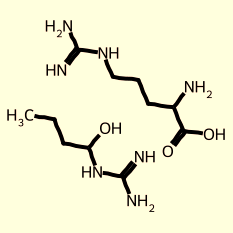 CCCC(O)NC(=N)N.N=C(N)NCCCC(N)C(=O)O